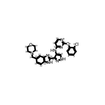 Clc1ccccc1Oc1nccc(Nc2c[nH]nc2-c2nc3cc(CN4CCOCC4)ccc3[nH]2)n1